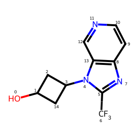 OC1CC(n2c(C(F)(F)F)nc3ccncc32)C1